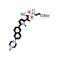 COCCNS(=O)(=O)/C(C#N)=C(\C)c1ccc(-c2ccc3cc(N4CCN(C)CC4)ccc3c2)n1C